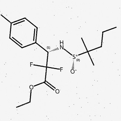 CCCC(C)(C)[S@+]([O-])N[C@@H](c1ccc(F)cc1)C(F)(F)C(=O)OCC